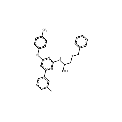 O=C(O)C(CSCc1ccccc1)Nc1nc(Nc2ccc(C(F)(F)F)cc2)nc(-c2cccc(F)c2)n1